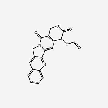 O=COC1C(=O)OCc2c1cc1n(c2=O)Cc2cc3ccccc3nc2-1